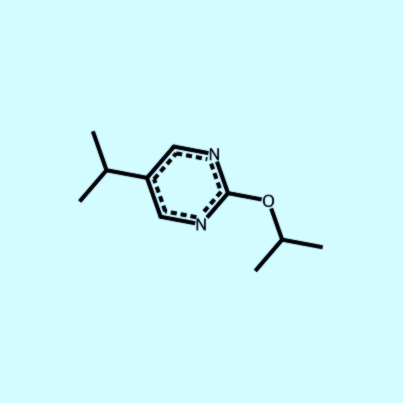 CC(C)Oc1ncc(C(C)C)cn1